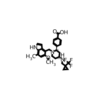 COc1cc(C)c2[nH]ccc2c1CN1CC[C@H](NCC2(C(F)(F)F)CC2)C[C@@H]1c1ccc(C(=O)O)cc1